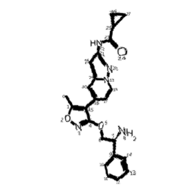 Cc1onc(OC[C@@H](N)c2ccccc2)c1-c1ccn2nc(NC(=O)C3CC3)cc2c1